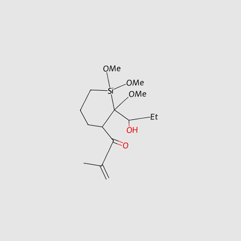 C=C(C)C(=O)C1CCC[Si](OC)(OC)C1(OC)C(O)CC